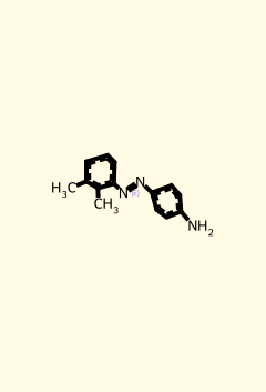 Cc1cccc(/N=N/c2ccc(N)cc2)c1C